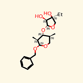 CC[C@]1(O)CO[C@H](O[C@H]2[C@H](C)[C@H](OCc3ccccc3)OC[C@@H]2C)[C@H]1O